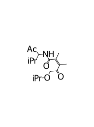 CC(=O)C(NC(=O)/C(C)=C(/C)C(=O)COC(C)C)C(C)C